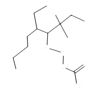 CCCCC(CC)C(OOOC(=O)O)C(C)(C)CC